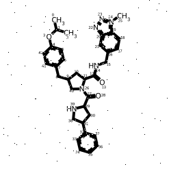 CC(C)Oc1ccc(CC2CC(C(=O)NCc3ccc4c(c3)nnn4C)N(C(=O)C3CC(c4ccccc4)CN3)C2)cc1